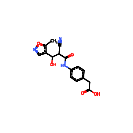 Cc1oncc1C(O)C(C#N)C(=O)Nc1ccc(CC(=O)O)cc1